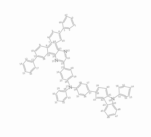 c1ccc(-c2ccc3c4ccc(-c5ccccc5)cc4c4nc(-c5ccc(N(c6ccccc6)c6ccc(-c7ccc8c(c7)c7ccccc7n8-c7ccccc7)cc6)cc5)cnc4c3c2)cc1